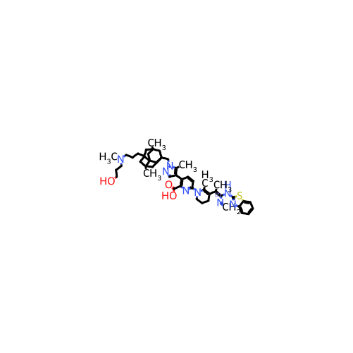 C=N/C(Nc1nc2ccccc2s1)=C(/C)C1=C(C)N(c2ccc(-c3cnn(CC45CC6(C)CC7(CCCN(C)CCCO)CC(C)(C4)C7(C6)C5)c3C)c(C(=O)O)n2)CCC1